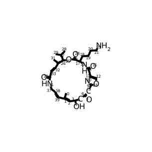 CC1=C\C(O)CC(=O)Cc2nc(co2)C(=O)NC(CCCCN)C(=O)OC(C(C)C)C(C)/C=C/C(=O)NC\C=C\1